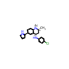 CC(=O)N1c2ccc(-c3ccc[nH]3)cc2[C@@H](Nc2ccc(Cl)cc2)C[C@H]1C